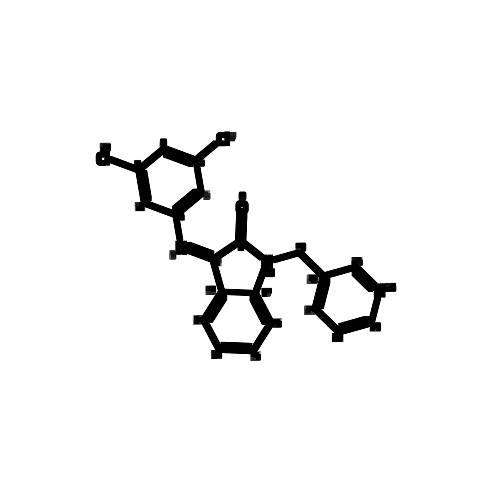 O=C1C(=Nc2cc(Cl)cc(Cl)c2)c2ccccc2N1Cc1cccnc1